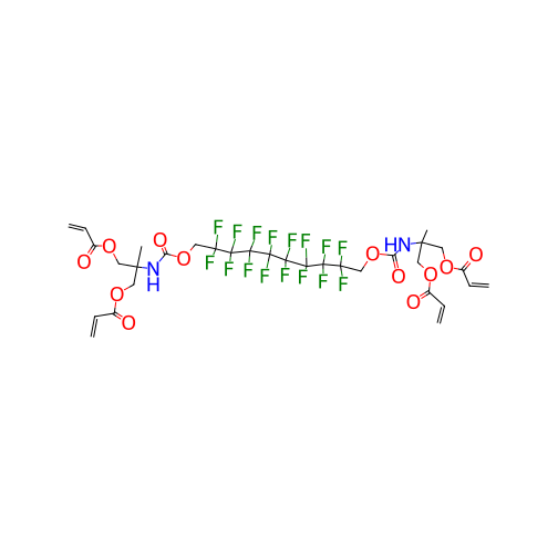 C=CC(=O)OCC(C)(COC(=O)C=C)NC(=O)OCC(F)(F)C(F)(F)C(F)(F)C(F)(F)C(F)(F)C(F)(F)C(F)(F)C(F)(F)COC(=O)NC(C)(COC(=O)C=C)COC(=O)C=C